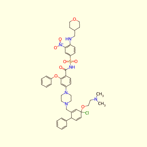 CN(C)CCOC1(Cl)C=CC(c2ccccc2)C(CN2CCN(c3ccc(C(=O)NS(=O)(=O)c4ccc(NCC5CCOCC5)c([N+](=O)[O-])c4)c(Oc4ccccc4)c3)CC2)=C1